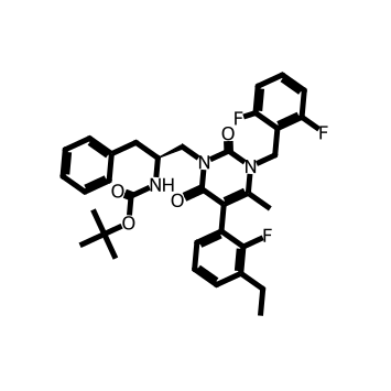 CCc1cccc(-c2c(C)n(Cc3c(F)cccc3F)c(=O)n(C[C@H](Cc3ccccc3)NC(=O)OC(C)(C)C)c2=O)c1F